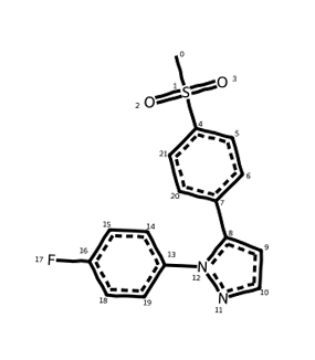 CS(=O)(=O)c1ccc(-c2ccnn2-c2ccc(F)cc2)cc1